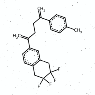 C=C(CCC(=C)c1ccc2c(c1)CC(F)(F)C(F)(F)C2)c1ccc(C)cc1